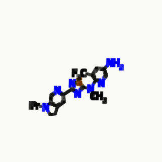 CC(C)N1CCc2cc(-c3nsc(N(C)c4ncc(N)cc4C(F)(F)F)n3)ncc21